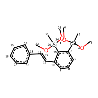 CO[Si](C)(OC)c1cccc(C=Cc2ccccc2)c1[Si](C)(OC)OC